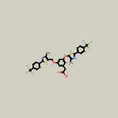 Cc1nc(-c2ccc(C(F)(F)F)cc2)sc1COc1cc(CC(=O)O)cc(Oc2sc(-c3ccc(C(F)(F)F)cc3)nc2C)c1